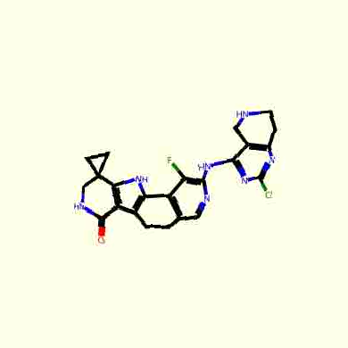 O=C1NCC2(CC2)c2[nH]c3c(c21)CCc1cnc(Nc2nc(Cl)nc4c2CNCC4)c(F)c1-3